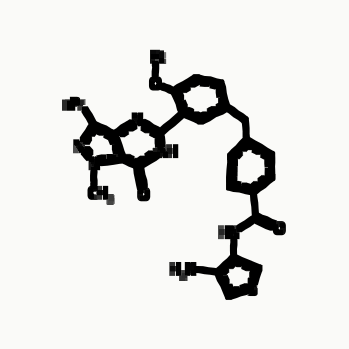 CCCc1nn(C)c2c(=O)[nH]c(-c3cc(Cc4ccc(C(=O)Nc5cscc5N)cc4)ccc3OCC)nc12